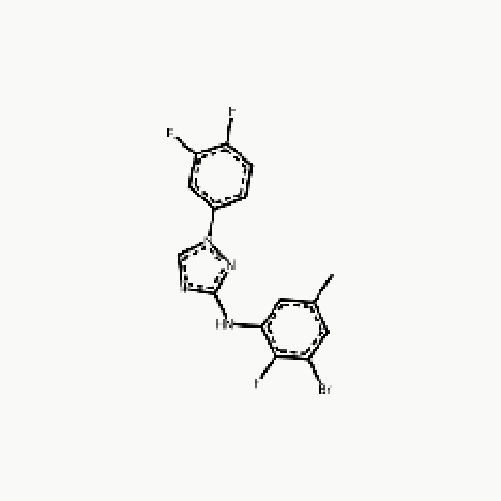 Cc1cc(Br)c(F)c(Nc2ncn(-c3ccc(F)c(F)c3)n2)c1